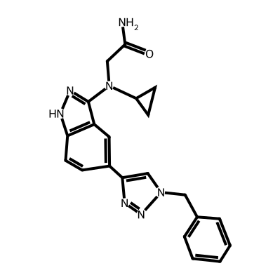 NC(=O)CN(c1n[nH]c2ccc(-c3cn(Cc4ccccc4)nn3)cc12)C1CC1